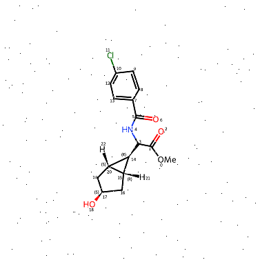 COC(=O)C(NC(=O)c1ccc(Cl)cc1)[C@H]1[C@@H]2C[C@@H](O)C[C@@H]21